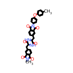 Cc1ccc(Oc2ccc(N3C(=O)c4ccc(CC5NC(=O)C(Cc6ccc7c(c6)C(=O)N(C)C7=O)NC5=O)cc4C3=O)cc2)cc1